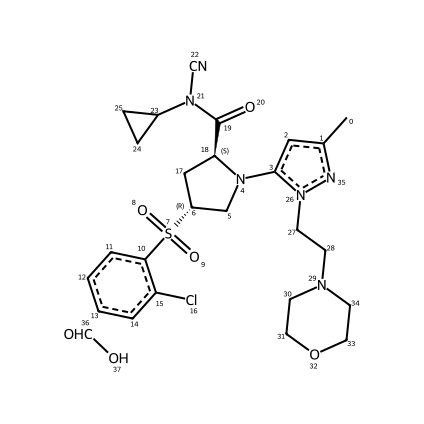 Cc1cc(N2C[C@H](S(=O)(=O)c3ccccc3Cl)C[C@H]2C(=O)N(C#N)C2CC2)n(CCN2CCOCC2)n1.O=CO